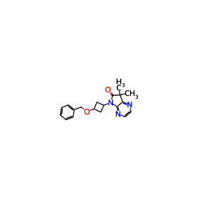 CC1(C)C(=O)N(C2CC(OCc3ccccc3)C2)c2nccnc21